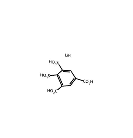 O=C(O)c1cc(C(=O)O)c(S(=O)(=O)O)c(S(=O)(=O)O)c1.[LiH]